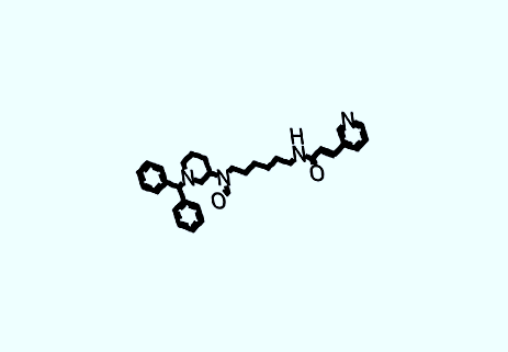 O=CN(CCCCCCNC(=O)C=Cc1cccnc1)C1CCCN(C(c2ccccc2)c2ccccc2)C1